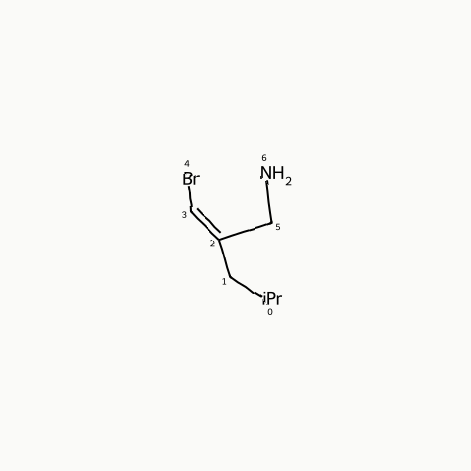 CC(C)CC(=CBr)CN